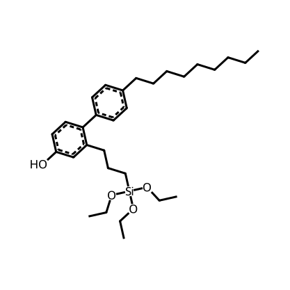 CCCCCCCCCc1ccc(-c2ccc(O)cc2CCC[Si](OCC)(OCC)OCC)cc1